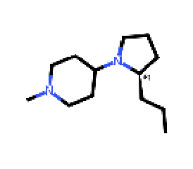 CCC[C@@H]1CCCN1C1CCN(C)CC1